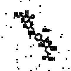 Nc1nc2ncc(CNc3ccc(C(=O)NC(CCC(=O)O)C(=O)O)cc3)nc2c(=O)[nH]1.[Mn]